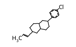 CC=CC1CCC2CC(c3ccc(Cl)cc3)CCC2C1